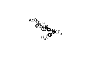 CC(=O)OCO/N=N\N1CCC[C@H]1COC(=O)NS(=O)(=O)c1ccc(-n2nc(C(F)(F)F)cc2-c2ccc(C)cc2)cc1